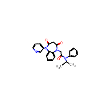 CC(C)N(C(=O)CN1C(=O)CC(=O)N(c2cccnc2)c2ccccc21)c1ccccc1